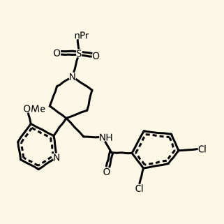 CCCS(=O)(=O)N1CCC(CNC(=O)c2ccc(Cl)cc2Cl)(c2ncccc2O[11CH3])CC1